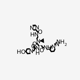 NN=CN1CCC[C@@H](CNC(=O)C[C@H](NC(=O)CN2CCC(O)CC2)C(=O)N(CCNC(=O)c2cnccn2)C2CC2)C1